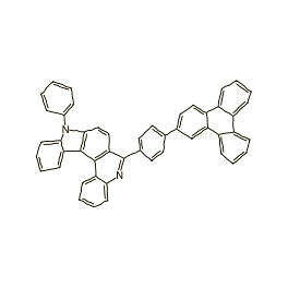 c1ccc(-n2c3ccccc3c3c4c(ccc32)c(-c2ccc(-c3ccc5c6ccccc6c6ccccc6c5c3)cc2)nc2ccccc24)cc1